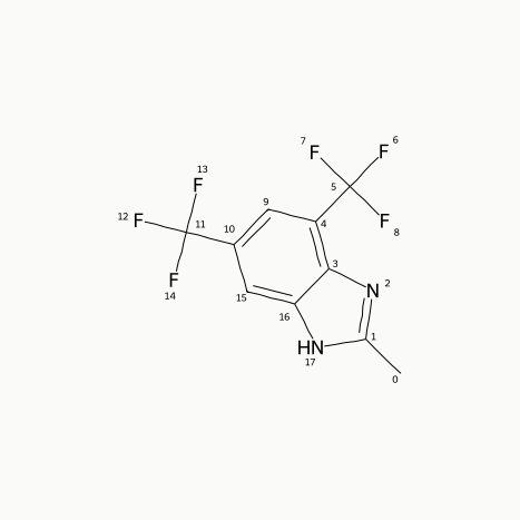 Cc1nc2c(C(F)(F)F)cc(C(F)(F)F)cc2[nH]1